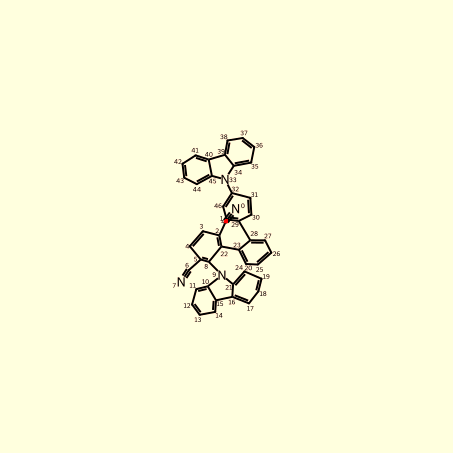 N#Cc1ccc(C#N)c(-n2c3ccccc3c3ccccc32)c1-c1ccccc1-c1ccc(-n2c3ccccc3c3ccccc32)cc1